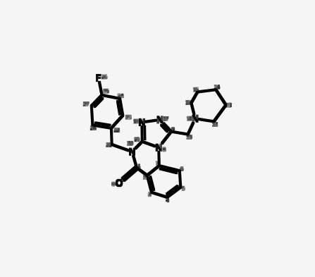 O=c1c2ccccc2n2c(CN3CCCCC3)nnc2n1Cc1ccc(F)cc1